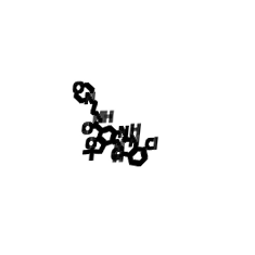 CC1(C)Cc2c(c(C(=O)NCCN3CCOCC3)cc3nc(Nc4c(Cl)cccc4Cl)[nH]c23)O1